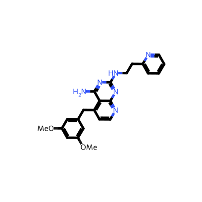 COc1cc(Cc2ccnc3nc(NCCc4ccccn4)nc(N)c23)cc(OC)c1